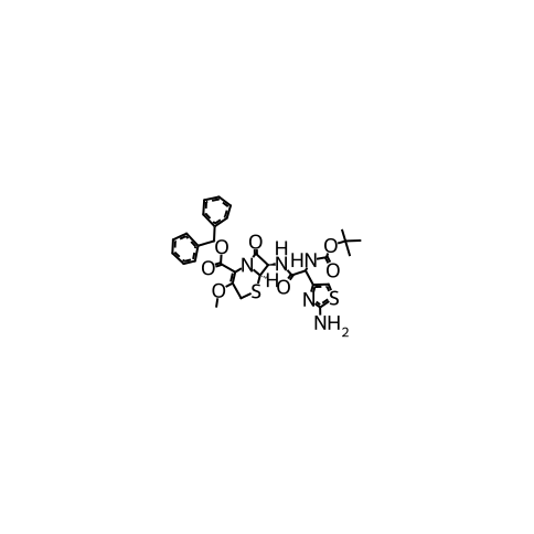 COC1=C(C(=O)OC(c2ccccc2)c2ccccc2)N2C(=O)[C@@H](NC(=O)C(NC(=O)OC(C)(C)C)c3csc(N)n3)[C@H]2SC1